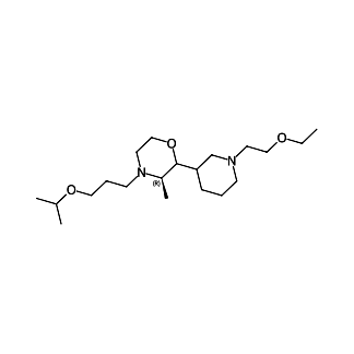 CCOCCN1CCCC(C2OCCN(CCCOC(C)C)[C@@H]2C)C1